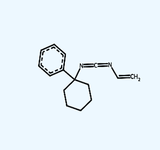 C=CN=C=NC1(c2ccccc2)CCCCC1